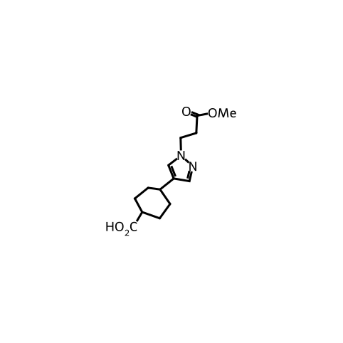 COC(=O)CCn1cc(C2CCC(C(=O)O)CC2)cn1